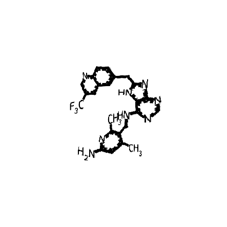 Cc1cc(N)nc(C)c1CNc1ncnc2nc(Cc3ccc4ncc(C(F)(F)F)cc4c3)[nH]c12